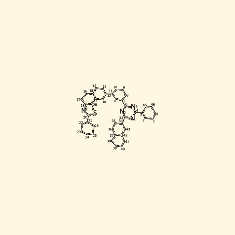 c1ccc(-c2nc(-c3cccc(-c4ccc5ccc6nc(-c7ccccc7)sc6c5c4)c3)nc(-c3ccc4ccccc4c3)n2)cc1